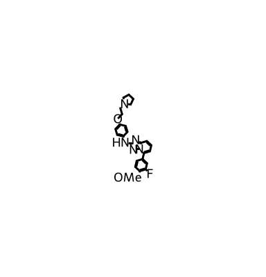 COc1ccc(-c2cccc3nc(Nc4ccc(OCCN5CCCC5)cc4)nn23)cc1F